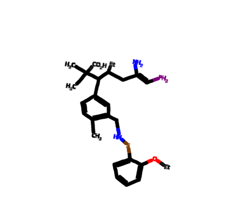 CCOc1ccccc1SNCc1cc(C(C(CC)C/C(N)=C/P)C(C)(C)C(=O)O)ccc1C